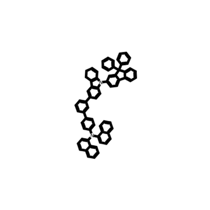 C1=Cc2c(c3cc(-c4cccc(-c5ccc(N(c6cccc7ccccc67)c6cccc7ccccc67)cc5)c4)ccc3n2-c2ccc3c(c2)C(c2ccccc2)(c2ccccc2)c2ccccc2-3)CC1